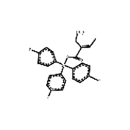 CC=C(CC(=O)O)C(=O)O[Si](c1ccc(F)cc1)(c1ccc(F)cc1)c1ccc(F)cc1